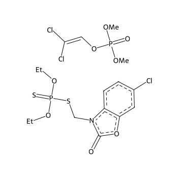 CCOP(=S)(OCC)SCn1c(=O)oc2cc(Cl)ccc21.COP(=O)(OC)OC=C(Cl)Cl